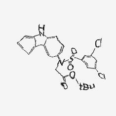 CC(C)(C)OC(=O)CN(c1ccc2[nH]c3ccccc3c2c1)S(=O)(=O)c1cc(Cl)cc(Cl)c1